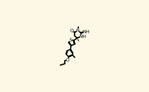 CCCOc1ccc(-c2csc([C@]3(C)CC(=O)N(C)C(=N)N3)c2)cc1C